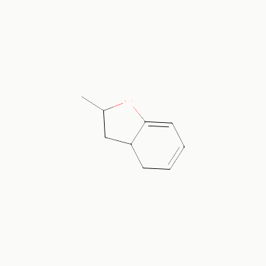 CC1CC2CC=CC=C2O1